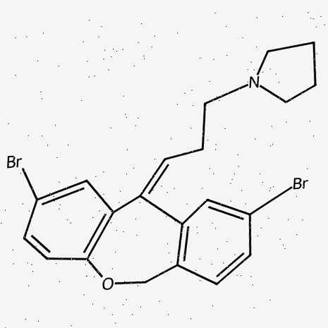 Brc1ccc2c(c1)C(=CCCN1CCCC1)c1cc(Br)ccc1OC2